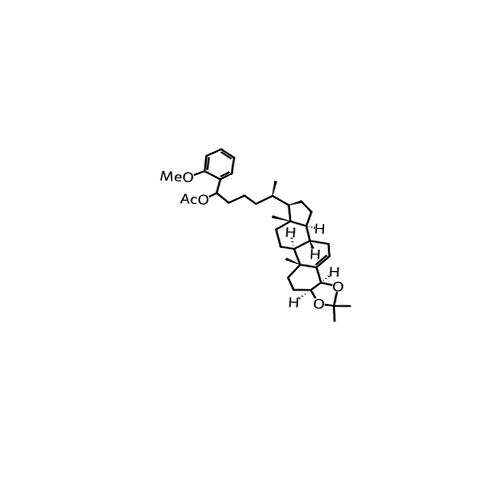 COc1ccccc1C(CCC[C@@H](C)[C@H]1CC[C@H]2[C@@H]3CC=C4[C@H]5OC(C)(C)O[C@H]5CC[C@]4(C)[C@H]3CC[C@]12C)OC(C)=O